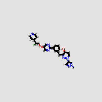 Cn1cc(-n2ccc(=O)c(Cc3cccc(-c4ncc(OCC(F)c5ccncc5)cn4)c3)n2)cn1